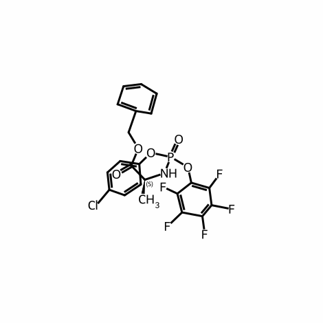 C[C@H](NP(=O)(Oc1ccc(Cl)cc1)Oc1c(F)c(F)c(F)c(F)c1F)C(=O)OCc1ccccc1